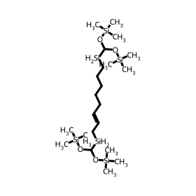 C[Si](C)(C)OC(O[Si](C)(C)C)[SiH2]CC=CCCCCC[SiH2]C(O[Si](C)(C)C)O[Si](C)(C)C